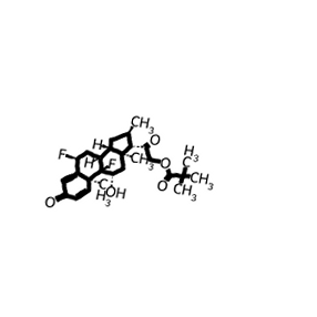 C[C@@H]1C[C@H]2[C@@H]3C[C@H](F)C4=CC(=O)C=C[C@]4(C)[C@@]3(F)[C@@H](O)C[C@]2(C)[C@H]1C(=O)COC(=O)C(C)(C)C